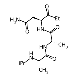 CCC(=O)[C@H](CC(N)=O)NC(=O)[C@H](C)NC(=O)[C@H](C)NC(C)C